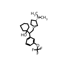 CN(C)[C@H]1CCN(CC(c2cccc(OC(F)(F)F)c2)C2(O)CCCCC2)C1